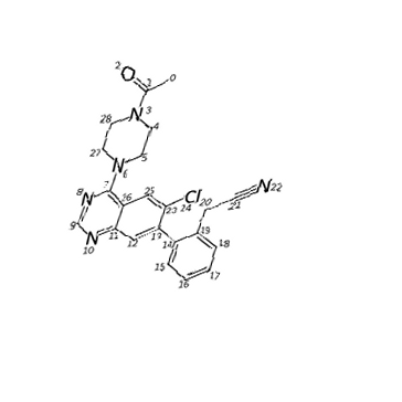 CC(=O)N1CCN(c2ncnc3cc(-c4ccccc4CC#N)c(Cl)cc23)CC1